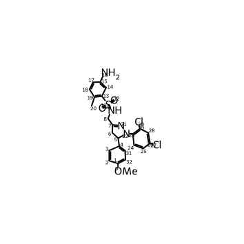 COc1ccc(C2CC(CNS(=O)(=O)c3cc(N)ccc3C)=NN2c2ccc(Cl)cc2Cl)cc1